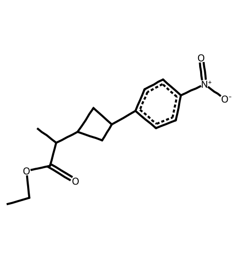 CCOC(=O)C(C)C1CC(c2ccc([N+](=O)[O-])cc2)C1